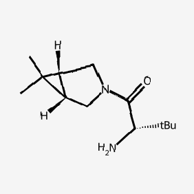 CC(C)(C)[C@H](N)C(=O)N1C[C@@H]2[C@H](C1)C2(C)C